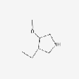 CCC1CNCC1OC